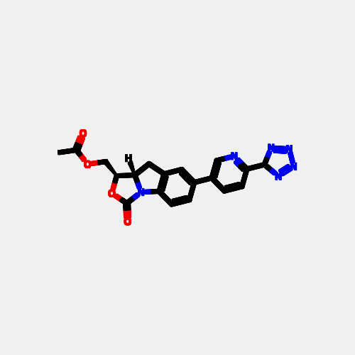 CC(=O)OC[C@@H]1OC(=O)N2c3ccc(-c4ccc(C5N=NN=N5)nc4)cc3C[C@@H]12